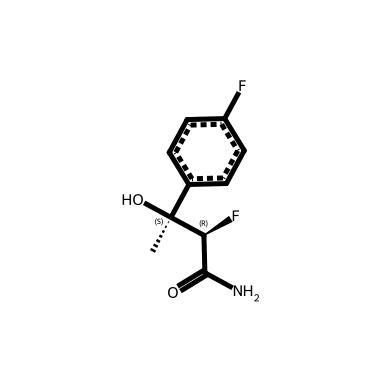 C[C@](O)(c1ccc(F)cc1)[C@@H](F)C(N)=O